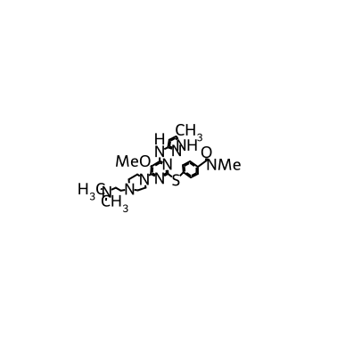 CNC(=O)c1ccc(Sc2nc(Nc3cc(C)[nH]n3)c(OC)c(N3CCN(CCN(C)C)CC3)n2)cc1